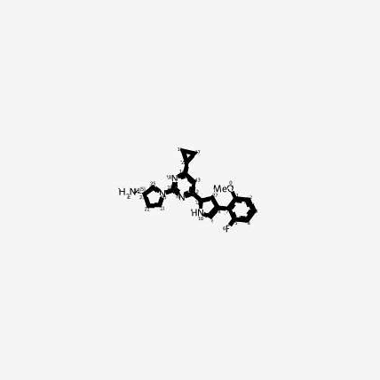 COc1cccc(F)c1C1=CNC(c2cc(C3CC3)nc(N3CC[C@H](N)C3)n2)C1